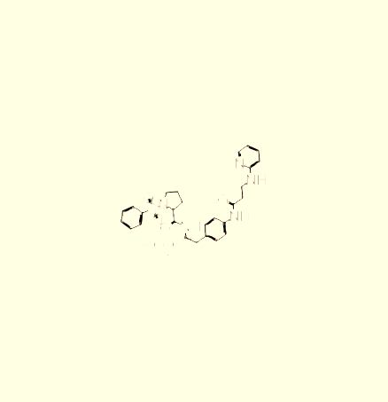 O=C(CCNc1ccccn1)Nc1ccc(C[C@H](NC(=O)[C@@H]2CCCN2S(=O)(=O)c2ccccc2)C(=O)O)cc1